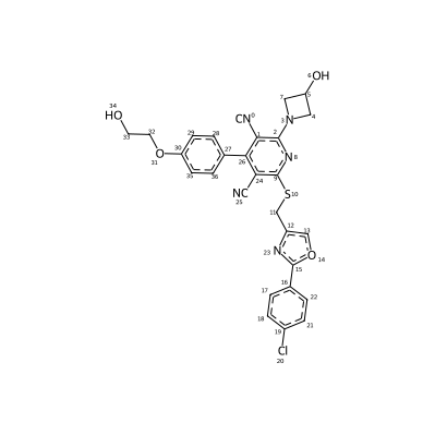 [C-]#[N+]c1c(N2CC(O)C2)nc(SCc2coc(-c3ccc(Cl)cc3)n2)c(C#N)c1-c1ccc(OCCO)cc1